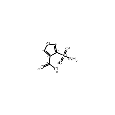 NS(=O)(=O)c1cscc1C(=O)Cl